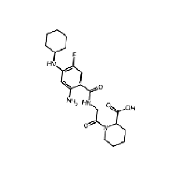 Nc1cc(NC2CCCCC2)c(F)cc1C(=O)NCC(=O)N1CCCCC1C(=O)O